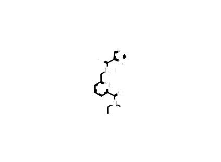 CCN(C)C(=O)c1cccc(CNC(=O)c2cocn2)n1